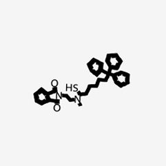 CN(CCN1C(=O)c2ccccc2C1=O)C(S)CCCCCC(c1ccccc1)(c1ccccc1)c1ccccc1